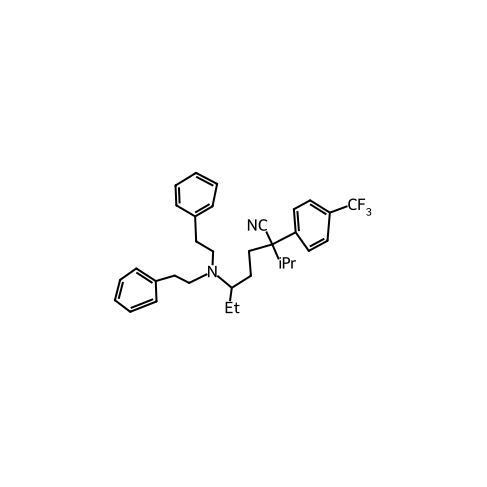 CCC(CCC(C#N)(c1ccc(C(F)(F)F)cc1)C(C)C)N(CCc1ccccc1)CCc1ccccc1